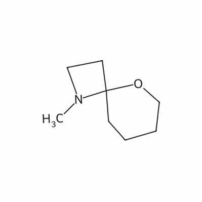 CN1CCC12CCCCO2